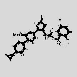 COc1cc(-c2sc(F)cc2NC(=O)O[C@H](C)c2cc(F)ccc2F)ccc1-c1ccc(C2CC2)cc1